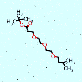 CC(C)CCOCCOCCOCCC(=O)OC(C)(C)C